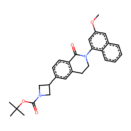 COc1cc(N2CCc3cc(C4CN(C(=O)OC(C)(C)C)C4)ccc3C2=O)c2ccccc2c1